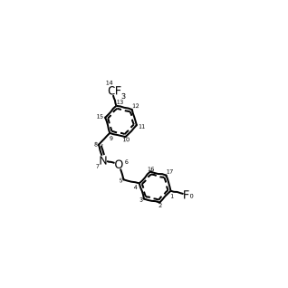 Fc1ccc(CO/N=[C]\c2cccc(C(F)(F)F)c2)cc1